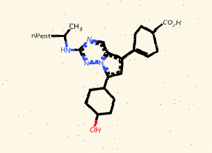 CCCCCC(C)Nc1ncc2c(C3=CCC(C(=O)O)CC3)cc(C3CCC(O)CC3)n2n1